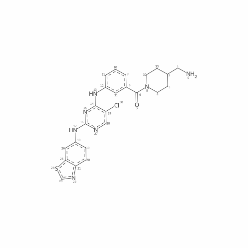 NCC1CCN(C(=O)c2cccc(Nc3nc(Nc4ccc5ncsc5c4)ncc3Cl)c2)CC1